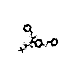 CN(C(=O)OC(C)(C)C)[C@@](C)(C(=O)OCc1ccccc1)c1ccc(OCc2ccccc2)cc1